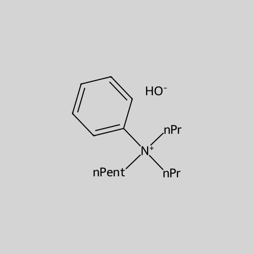 CCCCC[N+](CCC)(CCC)c1ccccc1.[OH-]